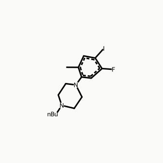 CCCCN1CCN(c2cc(F)c(I)cc2C)CC1